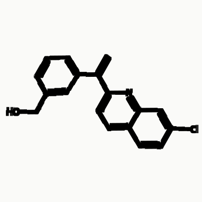 C=C(c1cccc(CO)c1)c1ccc2ccc(Cl)cc2n1